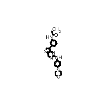 C=CC(=O)Nc1cccc(-c2csc3cnc(Nc4ccc(N5CCOCC5)cc4)nc23)c1